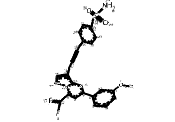 CCOc1cccc(-c2cc(C(F)F)n3ncc(C#Cc4ccc(S(N)(=O)=O)cc4)c3n2)c1